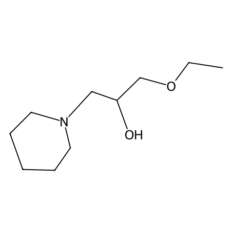 CCOCC(O)CN1CCCCC1